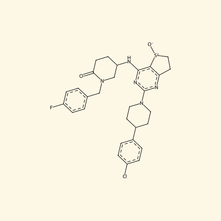 O=C1CCC(Nc2nc(N3CCC(c4ccc(Cl)cc4)CC3)nc3c2[S+]([O-])CC3)CN1Cc1ccc(F)cc1